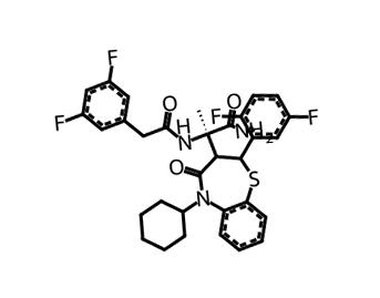 C[C@](NC(=O)Cc1cc(F)cc(F)c1)(C(N)=O)C1C(=O)N(C2CCCCC2)c2ccccc2SC1c1cc(F)ccc1F